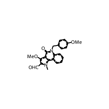 COc1ccc(Cn2c(=O)c3c(OC)c(C=O)n(C)c3c3ccccc32)cc1